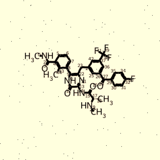 CNC(=O)c1cccc(-c2[nH]c(=O)c(NC(=O)[C@H](C)NC)nc2Cc2cc(C(=O)c3ccc(F)cc3)cc(C(F)(F)F)c2)c1C